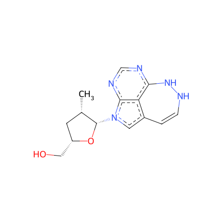 C[C@H]1C[C@@H](CO)O[C@H]1n1cc2c3c(ncnc31)NNC=C2